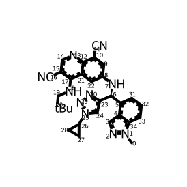 Cn1ncc2c([C@H](Nc3cc(C#N)c4ncc(C#N)c(NCC(C)(C)C)c4c3)c3cn(C4CC4)nn3)cccc21